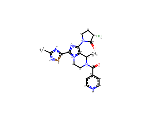 Cc1nsc(-c2nc(N3CCCC3=O)c3n2CCN(C(=O)c2ccncc2)C3C)n1.Cl